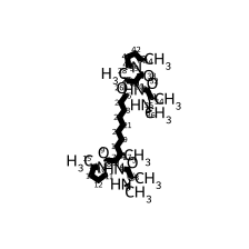 CN[C@@H](C)C(=O)N[C@H](C(=O)N1CCC[C@H]1C)[C@@H](C)CCCCCCCCO[C@H](C)[C@H](NC(=O)[C@H](C)NC)C(=O)N1CCC[C@H]1C